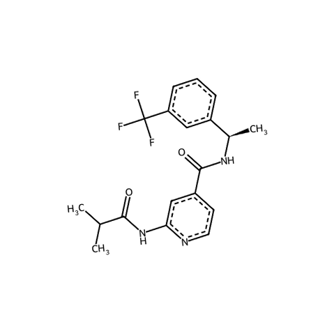 CC(C)C(=O)Nc1cc(C(=O)N[C@H](C)c2cccc(C(F)(F)F)c2)ccn1